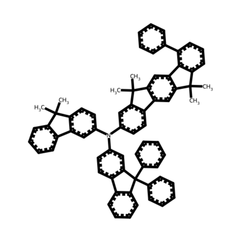 CC1(C)c2ccccc2-c2cc(N(c3ccc4c(c3)C(C)(C)c3cc5c(cc3-4)C(C)(C)c3cccc(-c4ccccc4)c3-5)c3ccc4c(c3)C(c3ccccc3)(c3ccccc3)c3ccccc3-4)ccc21